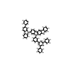 c1ccc(-c2ccc3c4ccccc4n(-c4ccc5c6cc7c(cc6n(-c6cccc(-c8nc(-c9ccccc9)nc(-c9ccccc9)n8)c6)c5c4)sc4ccccc47)c3c2)cc1